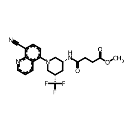 COC(=O)CCC(=O)N[C@@H]1C[C@H](C(F)(F)F)CN(c2ccc(C#N)c3ncccc23)C1